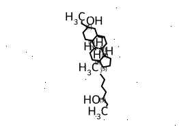 CC[C@H](O)CCCC[C@H]1CC[C@H]2[C@@H]3CC=C4C[C@](O)(CC)CC[C@@H]4[C@H]3CC[C@]12C